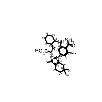 Cc1nn(-c2cc(F)c(C(N)=O)c(NC3CCCCC3NCC(=O)O)c2)c2c1CCC(C)(C)C2